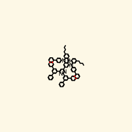 CCCCc1ccc2c(c1)N(c1ccc(-c3ccccc3)cc1)c1cc(-c3cc(-c4cc(-c5ccccc5)cc(-c5ccccc5)c4)nc(-c4cc(-c5ccccc5)cc(-c5ccccc5)c4)n3)cc3c1B2c1ccc(CCCC)cc1N3c1ccc(-c2ccccc2)cc1